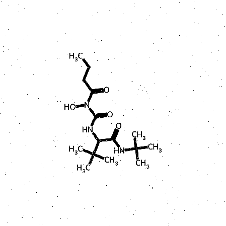 CCCC(=O)N(O)C(=O)NC(C(=O)NC(C)(C)C)C(C)(C)C